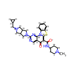 CN1CCC(NC(=O)c2c(=O)c3cnc(N4CC5CN(CC6CC6)CC5C4)nc3n3c2sc2ccccc23)CC1